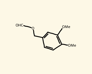 COc1ccc(COC=O)cc1OC